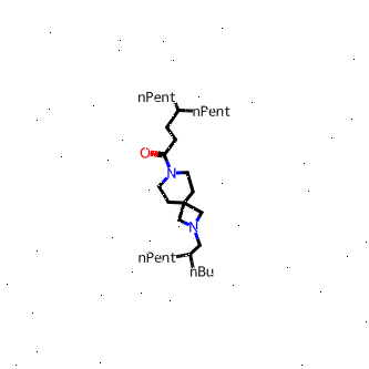 CCCCCC(CCCCC)CCC(=O)N1CCC2(CC1)CN(CC(CCCC)CCCCC)C2